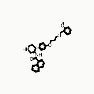 COc1ccccc1COCCCOc1ccc([C@@H]2CCNC[C@@H]2NC(=O)c2cccc3ccccc23)cc1